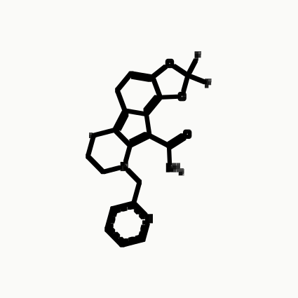 NC(=O)C1=C2C(=C3CC=C4OC(F)(F)OC4=C31)[C]CCN2Cc1ccccn1